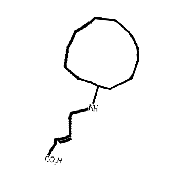 O=C(O)C=CCNC1CCCCCCCCCCC1